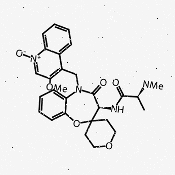 CN[C@@H](C)C(=O)N[C@@H]1C(=O)N(Cc2c(OC)c[n+]([O-])c3ccccc23)c2ccccc2OC12CCOCC2